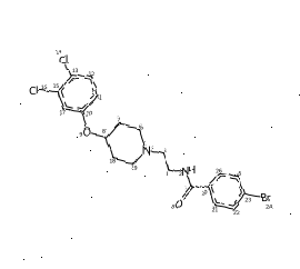 O=C(NCCN1CCC(Oc2ccc(Cl)c(Cl)c2)CC1)c1ccc(Br)cc1